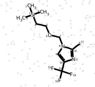 C[Si](C)(C)CCOCn1cc(C(F)(F)F)nc1I